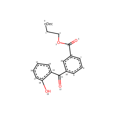 CCCCCCCCCCCCOC(=O)c1cccc(C(=O)c2ccccc2O)c1